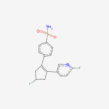 NS(=O)(=O)c1ccc(C2=C(c3ccc(F)nc3)CC(F)C2)cc1